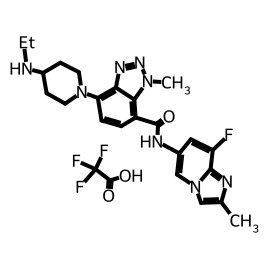 CCNC1CCN(c2ccc(C(=O)Nc3cc(F)c4nc(C)cn4c3)c3c2nnn3C)CC1.O=C(O)C(F)(F)F